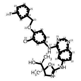 C[C@H](O)[C@]1(C)CN=C(Nc2ccc3ncnc(Nc4ccc(OCc5cccc(F)c5)c(Cl)c4)c3c2)O1